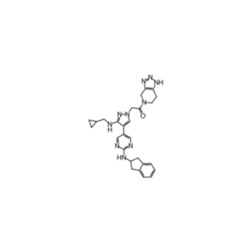 O=C(Cn1cc(-c2cnc(NC3Cc4ccccc4C3)nc2)c(NCC2CC2)n1)N1CCc2[nH]nnc2C1